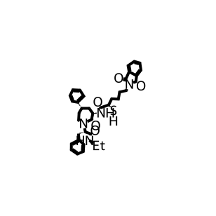 CCNC(=O)[C@H](Cc1ccccc1)N1CC[C@H](c2ccccc2)C[C@H](NC(=O)[C@@H](S)CCCCN2C(=O)c3ccccc3C2=O)C1=O